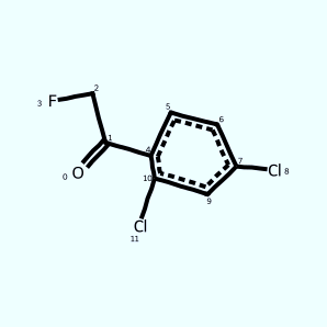 O=C(CF)c1ccc(Cl)cc1Cl